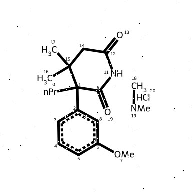 CCCC1(c2cccc(OC)c2)C(=O)NC(=O)CC1(C)C.CNC.Cl